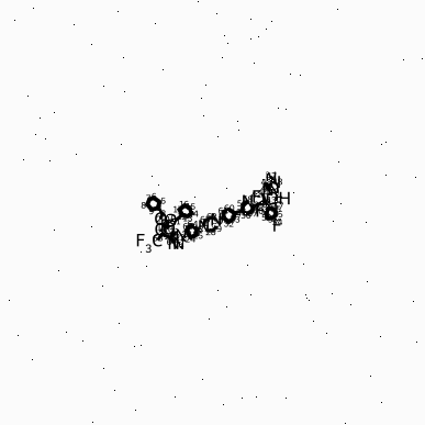 O=P(OCc1ccccc1)(OCc1ccccc1)OC(c1cn(-c2ccc(N3CCN(c4ccc(-c5ccc(C(F)(F)[C@](O)(Cn6cnnn6)c6ccc(F)cc6F)nc5)cc4)CC3)cc2)nn1)C(F)(F)F